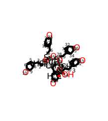 C[SiH](CCC1CC2CC1C1OC21)O[Si](C)(CCC1CC2CC1C1OC21)O[Si](C)(CCC1CC2CC1C1OC21)O[Si](C)(CCC1CC2CC1C1OC21)O[Si](C)(O)CCC1CC2CC1C1OC21